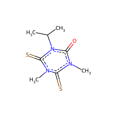 CC(C)n1c(=O)n(C)c(=S)n(C)c1=S